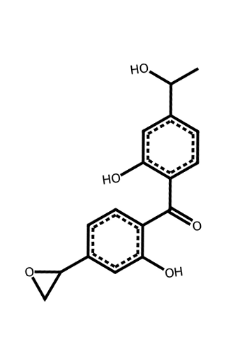 CC(O)c1ccc(C(=O)c2ccc(C3CO3)cc2O)c(O)c1